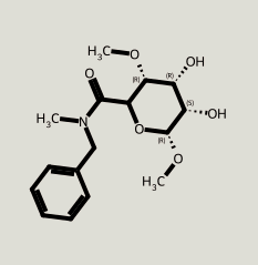 CO[C@@H]1OC(C(=O)N(C)Cc2ccccc2)[C@H](OC)[C@H](O)[C@@H]1O